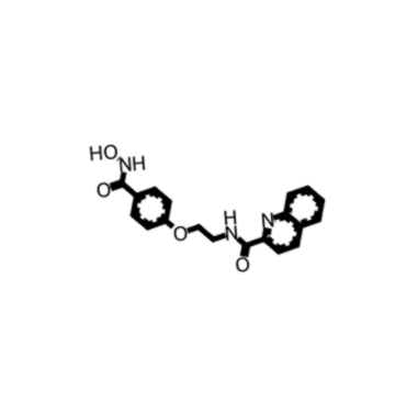 O=C(NO)c1ccc(OCCNC(=O)c2ccc3ccccc3n2)cc1